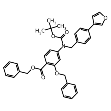 CC(C)(C)OC(=O)N(Cc1ccc(-c2ccoc2)cc1)c1ccc(C(=O)OCc2ccccc2)c(OCc2ccccc2)c1